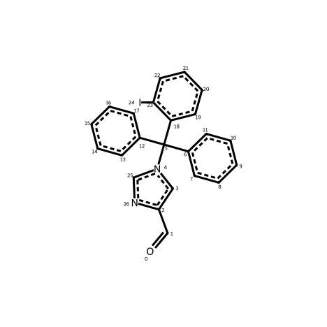 O=Cc1cn(C(c2ccccc2)(c2ccccc2)c2ccccc2I)cn1